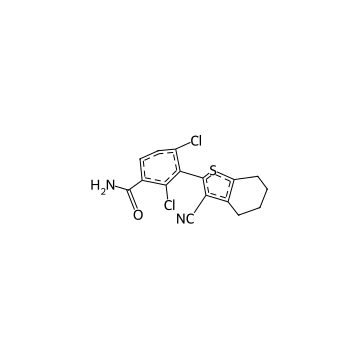 N#Cc1c(-c2c(Cl)ccc(C(N)=O)c2Cl)sc2c1CCCC2